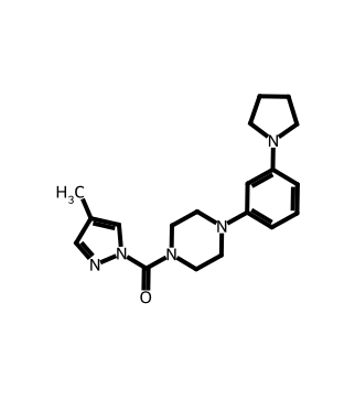 Cc1cnn(C(=O)N2CCN(c3cccc(N4CCCC4)c3)CC2)c1